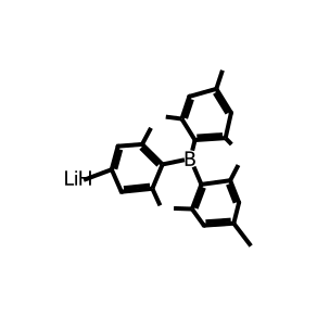 Cc1cc(C)c(B(c2c(C)cc(C)cc2C)c2c(C)cc(C)cc2C)c(C)c1.[LiH]